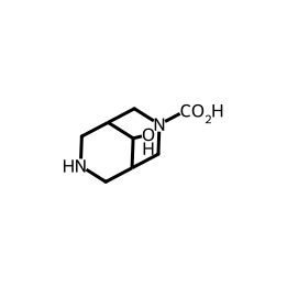 O=C(O)N1CC2CNCC(C1)C2O